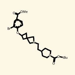 COC(=O)c1ccc(OC2CC3(C2)CN(CCC2CCN(C(=O)OC(C)(C)C)CC2)C3)c(Br)c1